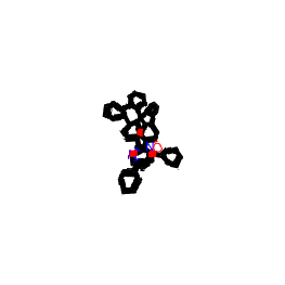 c1ccc(-c2cc(-c3ccccc3)nc(-c3ccc4c(c3)C3(c5ccccc5-c5ccccc5-4)c4ccccc4-c4cc5oc6ccccc6c5cc43)n2)cc1